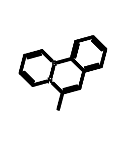 CC1=Cc2ccccc2B2C=CC=CN21